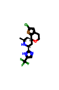 C[C@H]1C[C@@]2(C[C@@H](c3ncc(C(F)(F)F)[nH]3)N1)OCCc1cc(Cl)sc12